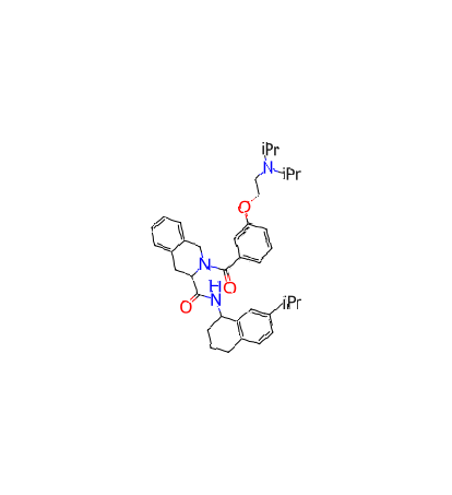 CC(C)c1ccc2c(c1)C(NC(=O)C1Cc3ccccc3CN1C(=O)c1cccc(OCCN(C(C)C)C(C)C)c1)CCC2